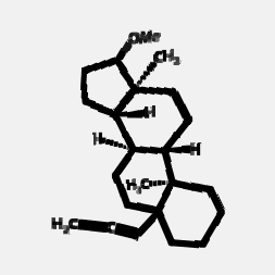 C=C=CC12CCCC[C@]1(C)[C@H]1CC[C@]3(C)C(OC)CC[C@H]3[C@@H]1CC2